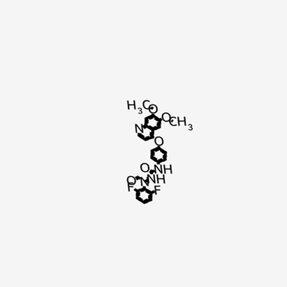 COc1cc2nccc(Oc3ccc(NC(=O)NN(C=O)c4c(F)cccc4F)cc3)c2cc1OC